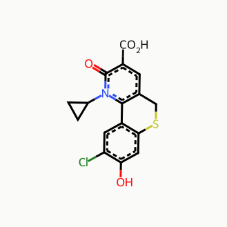 O=C(O)c1cc2c(n(C3CC3)c1=O)-c1cc(Cl)c(O)cc1SC2